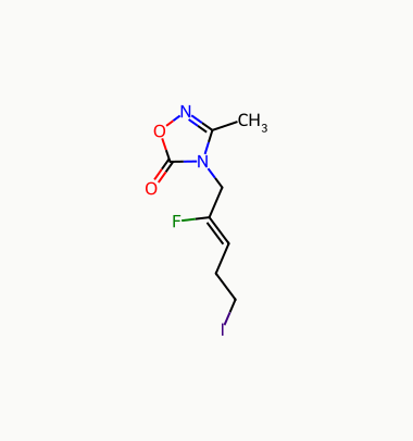 Cc1noc(=O)n1CC(F)=CCCI